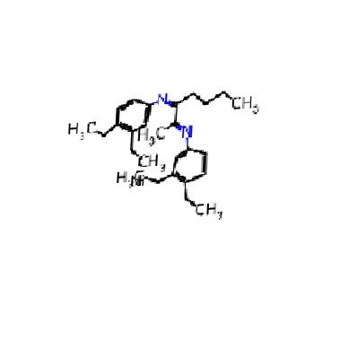 CCCCC(=Nc1ccc(CC)c(CC)c1)C(C)=Nc1ccc(CC)c(CC)c1.[Ni]